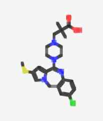 CSc1cc2n(c1)Cc1cc(Cl)ccc1N=C2N1CCN(CC(C)(C)C(=O)O)CC1